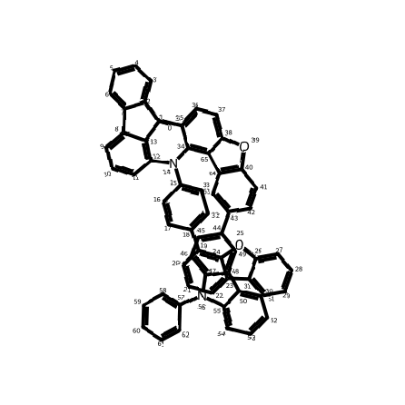 CC12c3ccccc3-c3cccc(c31)N(c1ccc(-c3cccc4c3oc3ccccc34)cc1)c1c2ccc2oc3ccc(-c4ccc5c(c4)c4ccccc4n5-c4ccccc4)cc3c12